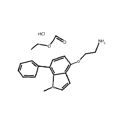 CCOC=O.Cl.Cn1ccc2c(OCCN)ccc(-c3ccccc3)c21